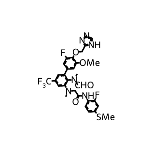 COc1cc(-c2cc(C(F)(F)F)cc(N(C)CC(=O)Nc3ccc(SC)cc3F)c2N(C)C=O)cc(F)c1OCc1nnc[nH]1